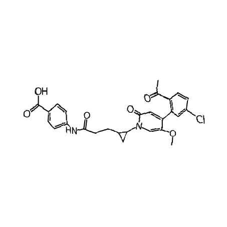 COc1cn(C2CC2CCC(=O)Nc2ccc(C(=O)O)cc2)c(=O)cc1-c1cc(Cl)ccc1C(C)=O